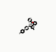 CC1=NC(NC(=O)c2cnccn2)(c2ccccc2)C(CN2CCN(c3ccc(F)cc3)CC2)=C1